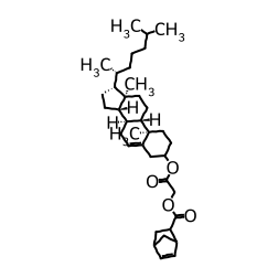 CC(C)CCC[C@@H](C)[C@H]1CC[C@H]2[C@@H]3CC=C4CC(OC(=O)COC(=O)C5CC6C=CC5C6)CC[C@]4(C)[C@H]3CC[C@]12C